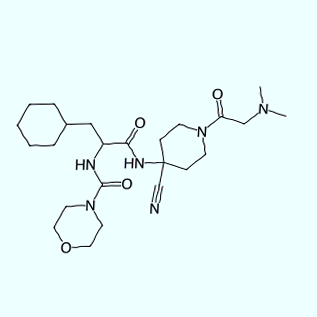 CN(C)CC(=O)N1CCC(C#N)(NC(=O)C(CC2CCCCC2)NC(=O)N2CCOCC2)CC1